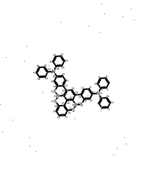 c1ccc(N(c2ccccc2)c2ccc3c(c2)SB2Sc4cccc5c4-c4c2c-3cc2c4B(Sc3cc(N(c4ccccc4)c4ccccc4)ccc3-2)S5)cc1